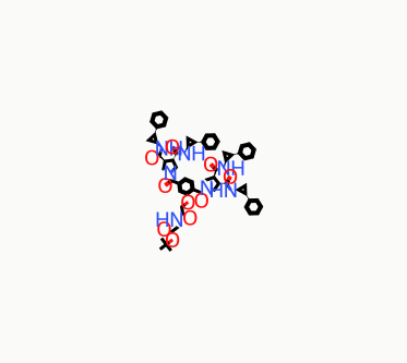 CC(C)(C)OC(=O)CNC(=O)COc1cc(C(=O)N2C[C@@H](C(=O)N[C@H]3C[C@@H]3c3ccccc3)[C@H](C(=O)N[C@H]3C[C@@H]3c3ccccc3)C2)ccc1C(=O)N1C[C@@H](C(=O)N[C@H]2C[C@@H]2c2ccccc2)[C@H](C(=O)N[C@H]2C[C@@H]2c2ccccc2)C1